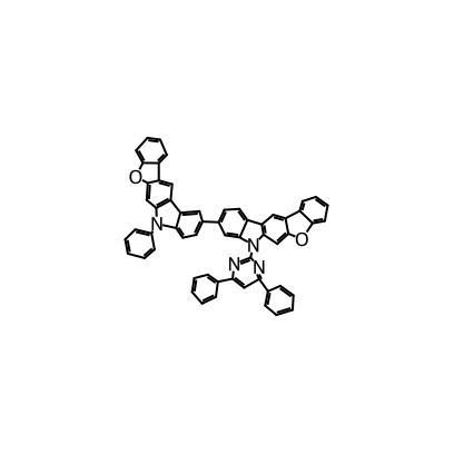 c1ccc(-c2cc(-c3ccccc3)nc(-n3c4cc(-c5ccc6c(c5)c5cc7c(cc5n6-c5ccccc5)oc5ccccc57)ccc4c4cc5c(cc43)oc3ccccc35)n2)cc1